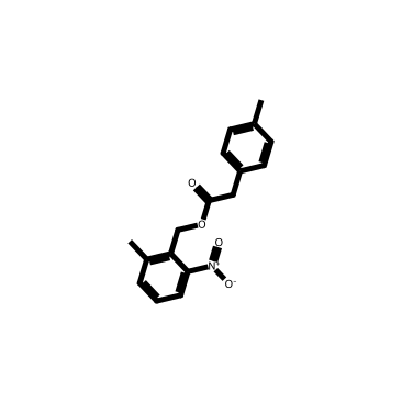 Cc1ccc(CC(=O)OCc2c(C)cccc2[N+](=O)[O-])cc1